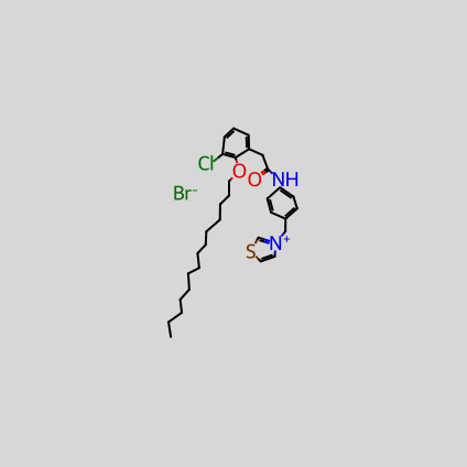 CCCCCCCCCCCCCCOc1c(Cl)cccc1CC(=O)Nc1ccc(C[n+]2ccsc2)cc1.[Br-]